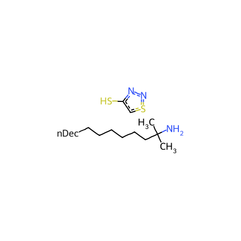 CCCCCCCCCCCCCCCCC(C)(C)N.Sc1csnn1